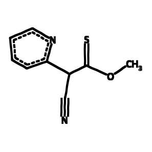 COC(=S)C(C#N)c1ccccn1